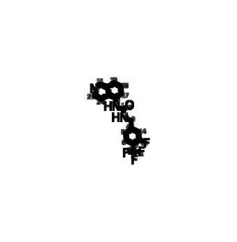 O=C(NCc1ccc(C(F)(F)F)c(F)c1)Nc1cccc2cnccc12